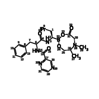 CC(C)C[C@H](NC(=O)C(Cc1ccccc1)NC(=O)c1cnccn1)B1OCC(C)N(C)CC(=O)O1